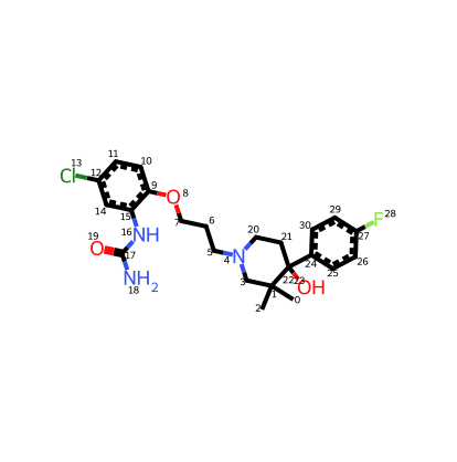 CC1(C)CN(CCCOc2ccc(Cl)cc2NC(N)=O)CCC1(O)c1ccc(F)cc1